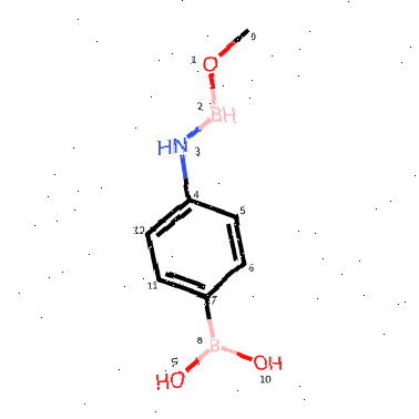 COBNc1ccc(B(O)O)cc1